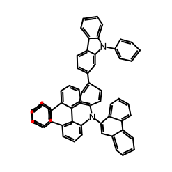 c1ccc(-c2ccccc2-c2c(-c3ccccc3)cccc2N(c2ccc(-c3ccc4c5ccccc5n(-c5ccccc5)c4c3)cc2)c2cc3ccccc3c3ccccc23)cc1